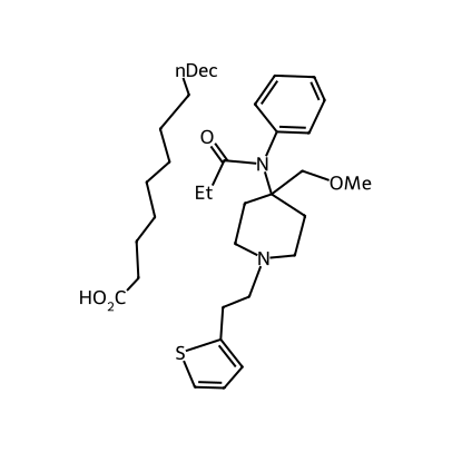 CCC(=O)N(c1ccccc1)C1(COC)CCN(CCc2cccs2)CC1.CCCCCCCCCCCCCCCCCC(=O)O